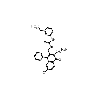 Cn1c(CNC(=O)Nc2cccc(CC(=O)O)c2)c(-c2ccccc2)c2cc(Cl)ccc2c1=O.[NaH]